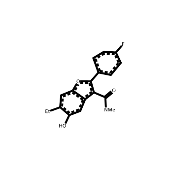 CCc1cc2oc(-c3ccc(F)cc3)c(C(=O)NC)c2cc1O